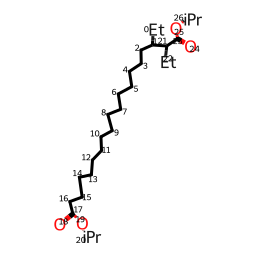 CCC(CCCCCCCCCCCCCCCC(=O)OC(C)C)C(CC)C(=O)OC(C)C